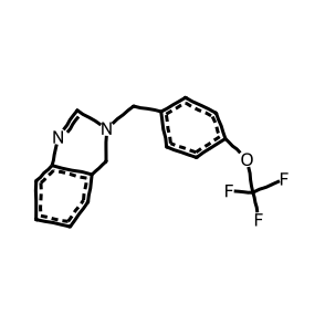 FC(F)(F)Oc1ccc(CN2C=Nc3ccccc3C2)cc1